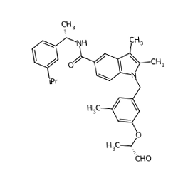 Cc1cc(Cn2c(C)c(C)c3cc(C(=O)N[C@@H](C)c4cccc(C(C)C)c4)ccc32)cc(O[C@@H](C)C=O)c1